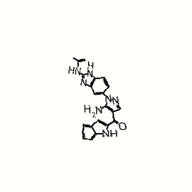 C=C(C)Nc1nc2cc(-n3ncc(C(=O)c4cc5ccccc5[nH]4)c3N)ccc2[nH]1